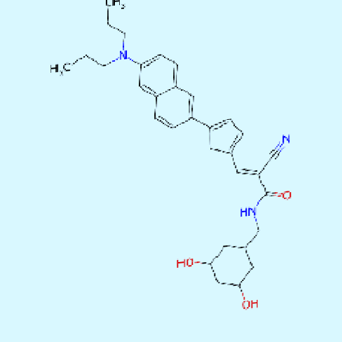 CCCN(CCC)c1ccc2cc(C3=CC=C(/C=C(\C#N)C(=O)NCC4CC(O)CC(O)C4)C3)ccc2c1